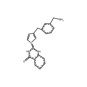 NCc1cccc(CC2=CS(=c3[nH]c(=O)c4ccccc4[nH]3)C=C2)c1